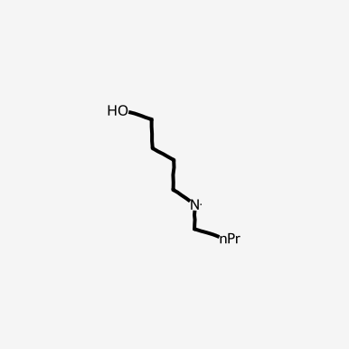 CCCC[N]CCCCO